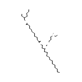 CCCCCCCCCCCCC(CCOC(=O)CCCCCCCCC(=O)OCC(CC)CCCC)OC(=O)OCCCN(C)CC